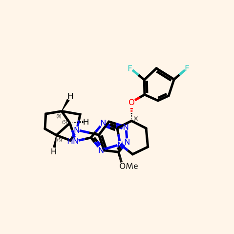 COc1cc(N2C[C@H]3CC[C@@H](C2)[C@@H]3Nc2nc3n(n2)CCC[C@H]3Oc2ccc(F)cc2F)cnn1